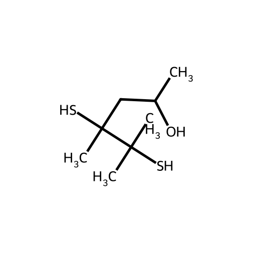 CC(O)CC(C)(S)C(C)(C)S